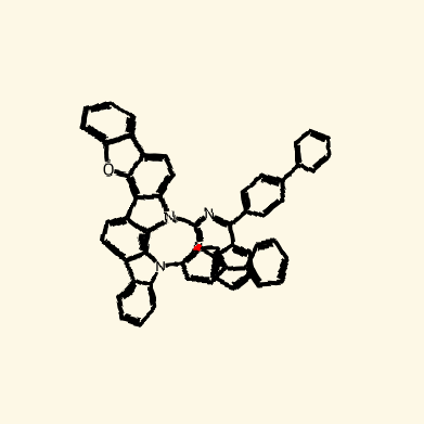 c1ccc(-c2ccc(-c3nc(-n4c5ccc6c7ccccc7oc6c5c5ccc6c7ccccc7n(-c7ccc(-c8ccccc8)cc7)c6c54)nc4ccccc34)cc2)cc1